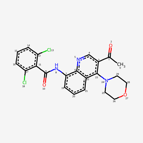 CC(=O)c1cnc2c(NC(=O)c3c(Cl)cccc3Cl)cccc2c1N1CCOCC1